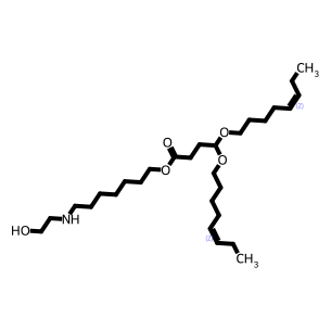 CC/C=C\CCCCOC(CCC(=O)OCCCCCCCNCCO)OCCCC/C=C\CC